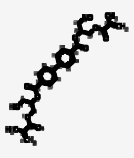 C=C(C)C(=O)OCC(CO)OC(=O)c1ccc(-c2ccc(C(=O)OC(CN=O)COC(=O)C(=C)C)cc2)cc1